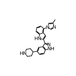 Cc1cn(-c2cccc3[nH]c(-c4n[nH]c5ccc(C6CCNCC6)cc45)cc23)cn1